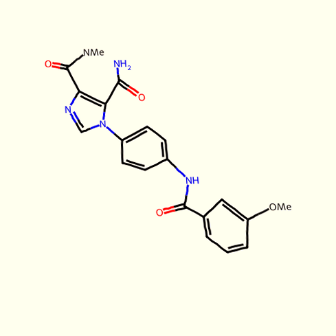 CNC(=O)c1ncn(-c2ccc(NC(=O)c3cccc(OC)c3)cc2)c1C(N)=O